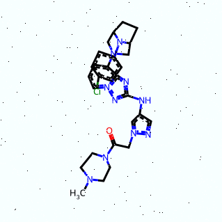 CN1CCN(C(=O)Cn2cc(Nc3nc4c(N5CC6CCC(C5)N6c5ccc(Cl)cc5)cccn4n3)cn2)CC1